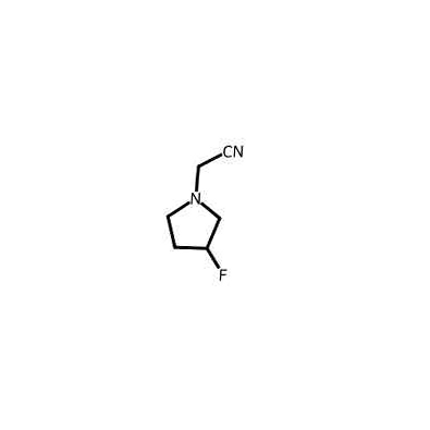 N#CCN1CCC(F)C1